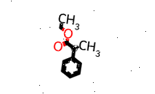 CCOC(=O)[C@@H](C)c1ccccc1